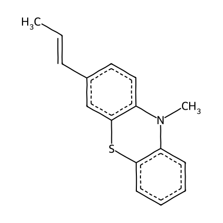 C/C=C/c1ccc2c(c1)Sc1ccccc1N2C